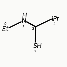 CCNC(S)C(C)C